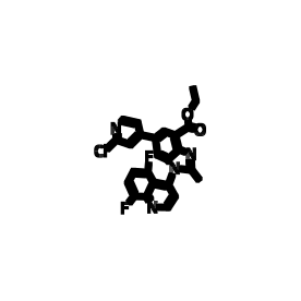 CCOC(=O)c1cc(-c2ccnc(Cl)c2)cc2c1nc(C)n2-c1ccnc2c(F)ccc(F)c12